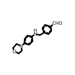 O=Cc1ccc(CNc2ccc(N3CCOCC3)cc2)cc1